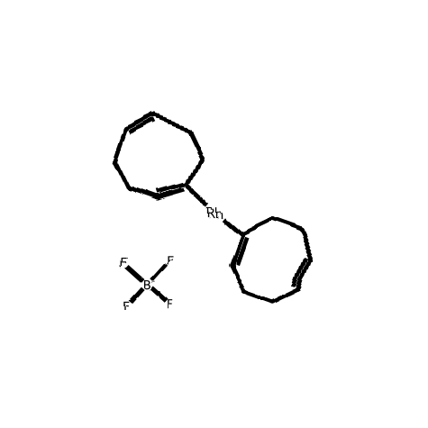 C1=CCC[C]([Rh][C]2=CCCC=CCC2)=CCC1.F[B-](F)(F)F